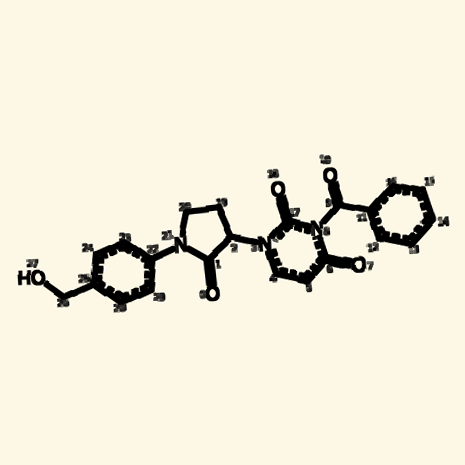 O=C1C(n2ccc(=O)n(C(=O)c3ccccc3)c2=O)CCN1c1ccc(CO)cc1